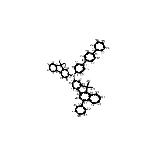 CC1(C)c2ccccc2-c2ccc(N(c3ccc(-c4ccc(-c5ccccc5)cc4)cc3)c3ccc4c(c3)C(C)(C)c3c-4cc(-c4ccccc4)c4ccccc34)cc21